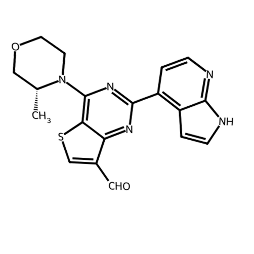 C[C@@H]1COCCN1c1nc(-c2ccnc3[nH]ccc23)nc2c(C=O)csc12